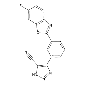 N#Cc1[nH]nnc1-c1cccc(-c2nc3ccc(F)cc3o2)c1